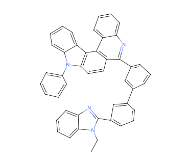 CCn1c(-c2cccc(-c3cccc(-c4nc5ccccc5c5c4ccc4c5c5ccccc5n4-c4ccccc4)c3)c2)nc2ccccc21